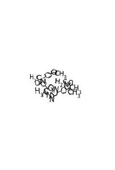 COc1ccc([C@@H](C)N2CC([C@@H](C)Oc3nc(-c4ccc5c(c4)N(C)C(=O)C5(C)C)cc4ncn(C5CC5)c34)CC2=O)cc1